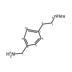 CCCCCCCCc1ccc(CN)cc1